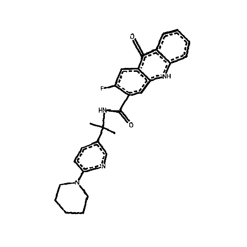 CC(C)(NC(=O)c1cc2[nH]c3ccccc3c(=O)c2cc1F)c1ccc(N2CCCCC2)nc1